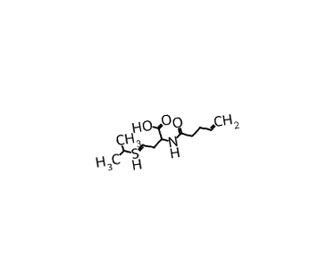 C=CCCC(=O)NC(CC=[SH]C(C)C)C(=O)O